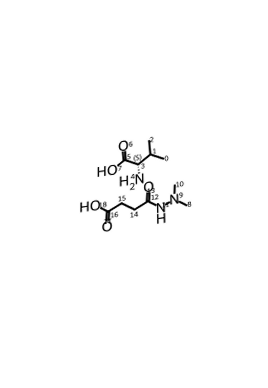 CC(C)[C@H](N)C(=O)O.CN(C)NC(=O)CCC(=O)O